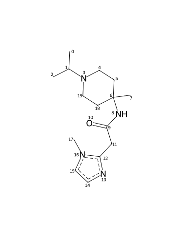 CC(C)N1CCC(C)(NC(=O)Cc2nccn2C)CC1